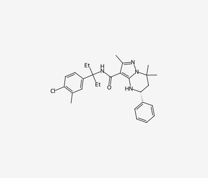 CCC(CC)(NC(=O)c1c(C)nn2c1N[C@@H](c1ccccc1)CC2(C)C)c1ccc(Cl)c(C)c1